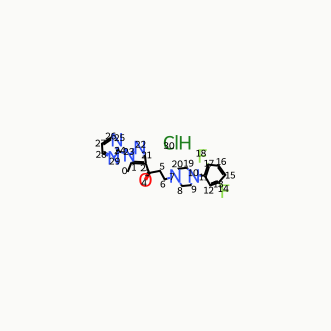 Cc1c(C(=O)CCN2CCN(c3cc(F)ccc3F)CC2)cnn1-c1ncccn1.Cl